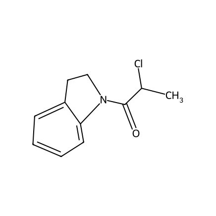 CC(Cl)C(=O)N1CCc2ccccc21